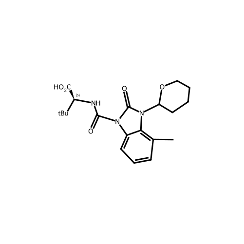 Cc1cccc2c1n(C1CCCCO1)c(=O)n2C(=O)N[C@H](C(=O)O)C(C)(C)C